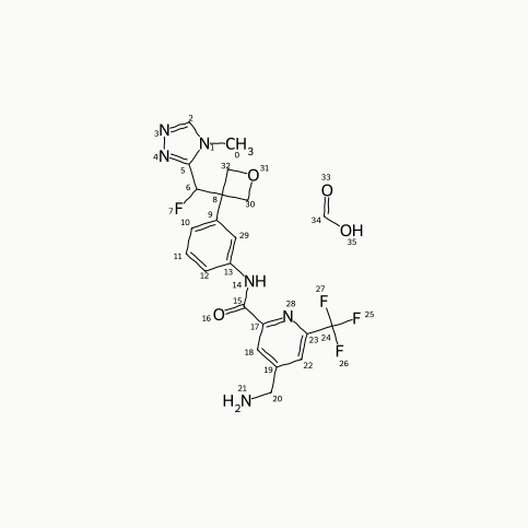 Cn1cnnc1C(F)C1(c2cccc(NC(=O)c3cc(CN)cc(C(F)(F)F)n3)c2)COC1.O=CO